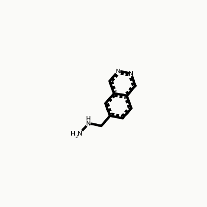 NNCc1ccc2cnncc2c1